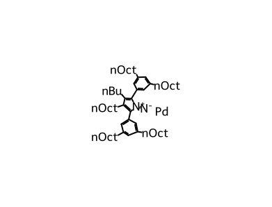 CCCCCCCCC1=C(c2cc(CCCCCCCC)cc(CCCCCCCC)c2)[N+](=[N-])C(c2cc(CCCCCCCC)cc(CCCCCCCC)c2)=C1CCCC.[Pd]